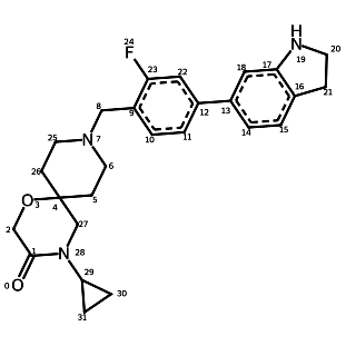 O=C1COC2(CCN(Cc3ccc(-c4ccc5c(c4)NCC5)cc3F)CC2)CN1C1CC1